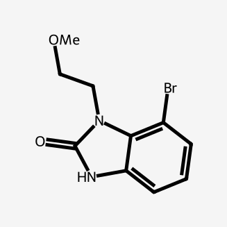 COCCn1c(=O)[nH]c2cccc(Br)c21